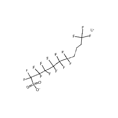 O=S(=O)([O-])C(F)(F)C(F)(F)C(F)(F)C(F)(F)C(F)(F)C(F)(F)CCCC(F)(F)F.[Li+]